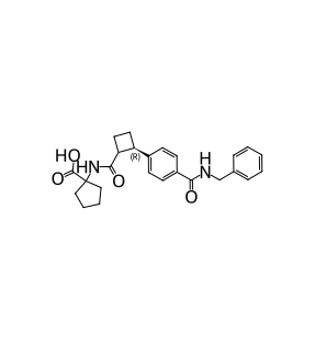 O=C(NCc1ccccc1)c1ccc([C@@H]2CCC2C(=O)NC2(C(=O)O)CCCC2)cc1